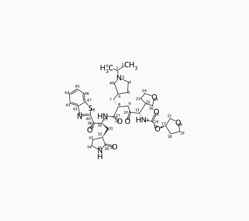 CC(C)N1CCC(C[C@H](CC(=O)[C@@H](NC(=O)O[C@@H]2CCOC2)C2CCOC2)C(=O)N[C@@H](C[C@@H]2CCNC2=O)C(=O)c2nc3ccccc3s2)C1